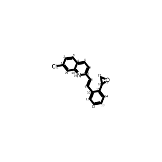 Clc1ccc2ccc(C=Cc3ccccc3C3CO3)nc2c1